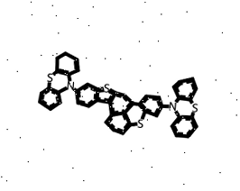 C1=CC2=C(CC1)Sc1ccccc1N2c1ccc2c(c1)sc1cc3c4c(cccc4c12)Sc1cc(N2c4ccccc4Sc4ccccc42)ccc1-3